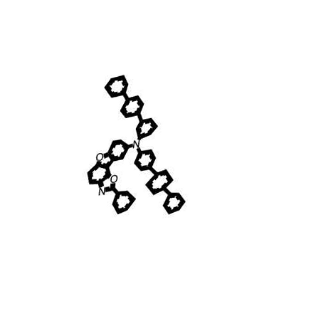 c1ccc(-c2ccc(-c3ccc(N(c4cccc(-c5ccc(-c6ccccc6)cc5)c4)c4ccc5oc6ccc7nc(-c8ccccc8)oc7c6c5c4)cc3)cc2)cc1